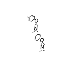 Cc1ccc(OC2CN(C(C)Cc3cccc(OC4CN(C(C)C)C4)c3)C2)cc1